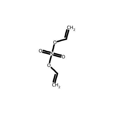 C=COS(=O)(=O)OC=C